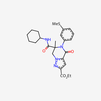 CCOC(=O)c1cc2n(n1)CC(C)(C(=O)NC1CCCCC1)N(c1cccc(SC)c1)C2=O